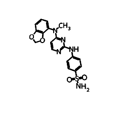 CN(c1ccnc(Nc2ccc(S(N)(=O)=O)cc2)n1)c1cccc2c1OCO2